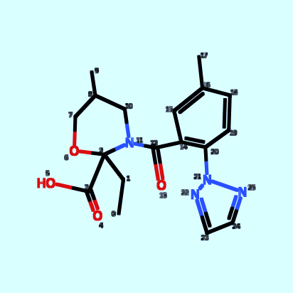 CCC1(C(=O)O)OCC(C)CN1C(=O)c1cc(C)ccc1-n1nccn1